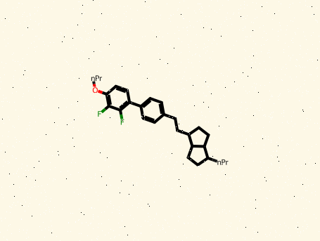 CCCOc1ccc(-c2ccc(CCC3CCC4C(CCC)CCC34)cc2)c(F)c1F